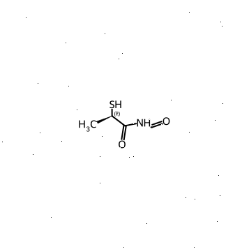 C[C@@H](S)C(=O)NC=O